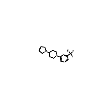 FC(F)(F)c1ccnc(N2CCC(N3CCCC3)CC2)n1